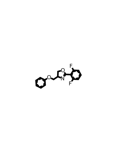 Fc1cccc(F)c1C1=NC(COc2ccccc2)CO1